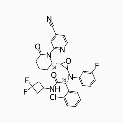 N#Cc1ccnc(N2C(=O)CCC[C@H]2C2OC2N(c2cccc(F)c2)[C@@H](C(=O)NC2CC(F)(F)C2)c2ccccc2Cl)c1